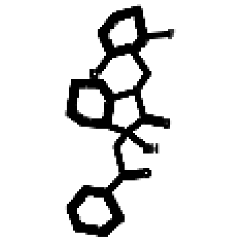 O=C(CC1(O)C(=O)N(Cc2c(F)cccc2Cl)c2ccccc21)c1ccccc1